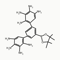 CC1(C)OB(c2cc(-c3cc(N)c(N)c(N)c3N)cc(-c3cc(N)c(N)c(N)c3N)c2)OC1(C)C